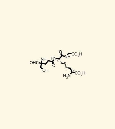 N[C@@H](CSSC[C@H](NC(=O)CCC(N)(C=O)CO)C(=O)NCC(=O)O)C(=O)O